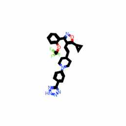 FC(F)(F)Oc1ccccc1-c1noc(C2CC2)c1C=CC1CCN(c2ccc(-c3nn[nH]n3)cc2)CC1